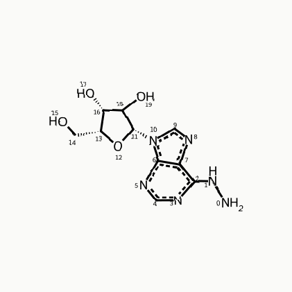 NNc1ncnc2c1ncn2[C@@H]1O[C@H](CO)[C@H](O)C1O